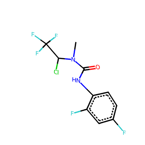 CN(C(=O)Nc1ccc(F)cc1F)C(Cl)C(F)(F)F